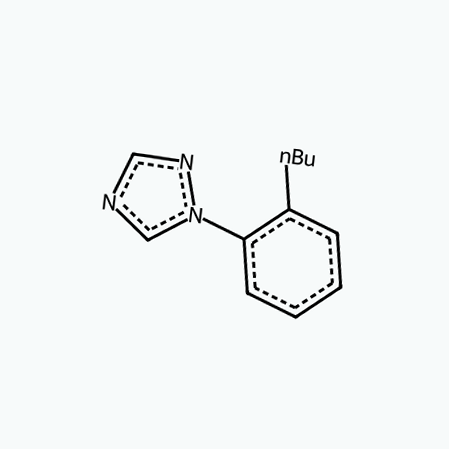 CCCCc1ccccc1-n1cncn1